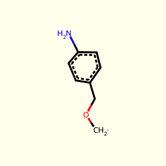 [CH2]OCc1ccc(N)cc1